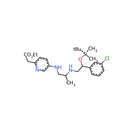 CCOC(=O)Cc1ccc(NCC(C)NCC(O[Si](C)(C)C(C)(C)C)c2cccc(Cl)c2)cn1